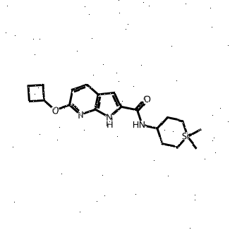 C[Si]1(C)CCC(NC(=O)c2cc3ccc(OC4CCC4)nc3[nH]2)CC1